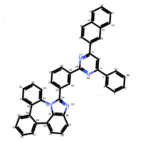 c1ccc(-c2cc(-c3ccc4ccccc4c3)nc(-c3cccc(-c4nc5cccc6c5n4-c4ccccc4-c4ccccc4-6)c3)n2)cc1